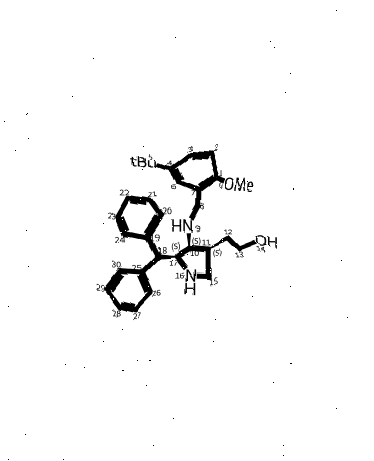 COc1ccc(C(C)(C)C)cc1CN[C@H]1[C@@H](CCO)CN[C@H]1C(c1ccccc1)c1ccccc1